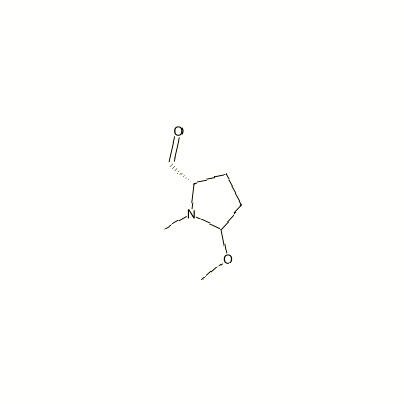 COC1CC[C@@H](C=O)N1C